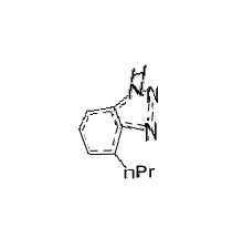 [CH2]CCc1cccc2[nH]nnc12